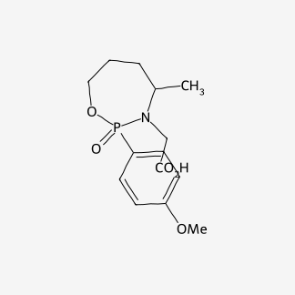 COc1ccc(P2(=O)OCCCC(C)N2CC(=O)O)cc1